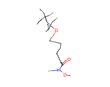 CON(C)C(=O)CCCO[Si](C)(C)C(C)(C)C